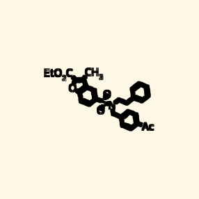 CCOC(=O)c1oc2ccc(S(=O)(=O)N(CCc3ccccc3)Cc3ccc(C(C)=O)cc3)cc2c1C